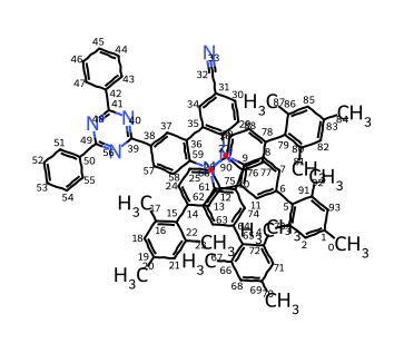 Cc1cc(C)c(-c2ccc3c(c2)c2cc(-c4c(C)cc(C)cc4C)ccc2n3-c2ccc(C#N)cc2-c2cc(-c3nc(-c4ccccc4)nc(-c4ccccc4)n3)ccc2-n2c3ccc(-c4c(C)cc(C)cc4C)cc3c3cc(-c4c(C)cc(C)cc4C)ccc32)c(C)c1